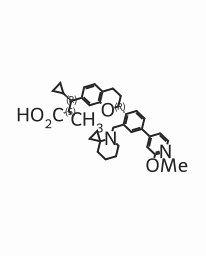 COc1cc(-c2ccc([C@H]3CCc4ccc([C@H](C5CC5)[C@H](C)C(=O)O)cc4O3)c(CN3CCCCC34CC4)c2)ccn1